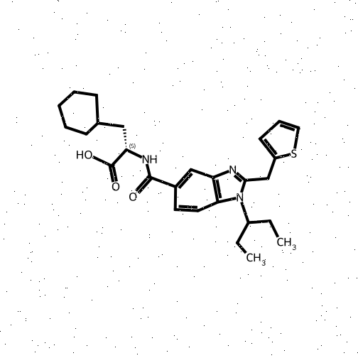 CCC(CC)n1c(Cc2cccs2)nc2cc(C(=O)N[C@@H](CC3CCCCC3)C(=O)O)ccc21